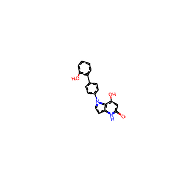 O=c1cc(O)c2c(ccn2-c2ccc(-c3ccccc3O)cc2)[nH]1